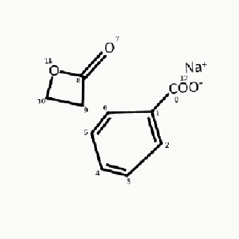 O=C([O-])c1ccccc1.O=C1CCO1.[Na+]